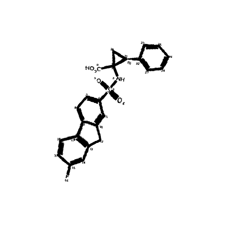 O=C(O)C1(NS(=O)(=O)c2ccc3c(c2)Cc2cc(F)ccc2-3)C[C@H]1c1ccccc1